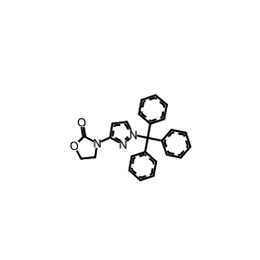 O=C1OCCN1c1ccn(C(c2ccccc2)(c2ccccc2)c2ccccc2)n1